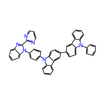 c1ccc(-n2c3ccccc3c3cc(-c4ccc5c(c4)c4ccccc4n5-c4ccc(-n5c(-c6ncccn6)nc6ccccc65)cc4)ccc32)cc1